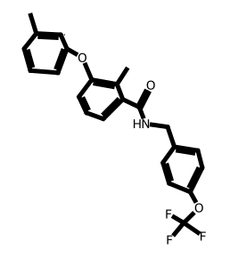 Cc1[c]c(Oc2cccc(C(=O)NCc3ccc(OC(F)(F)F)cc3)c2C)ccc1